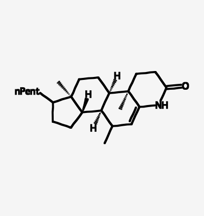 CCCCCC1CC[C@H]2[C@@H]3C(C)C=C4NC(=O)CC[C@]4(C)[C@@H]3CC[C@]12C